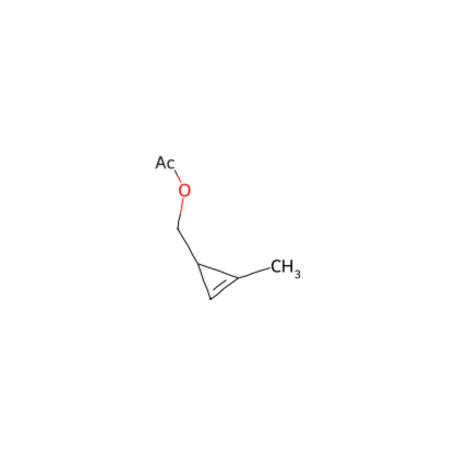 CC(=O)OCC1C=C1C